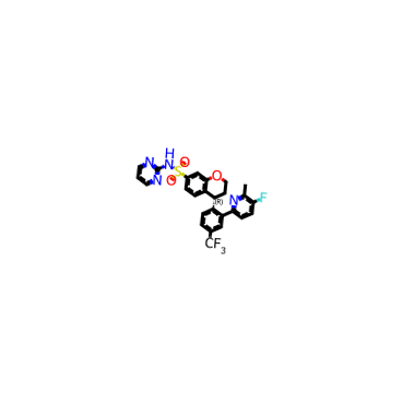 Cc1nc(-c2cc(C(F)(F)F)ccc2[C@H]2CCOc3cc(S(=O)(=O)Nc4ncccn4)ccc32)ccc1F